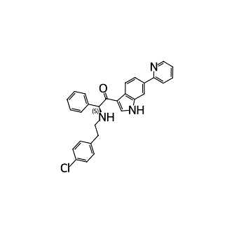 O=C(c1c[nH]c2cc(-c3ccccn3)ccc12)[C@@H](NCCc1ccc(Cl)cc1)c1ccccc1